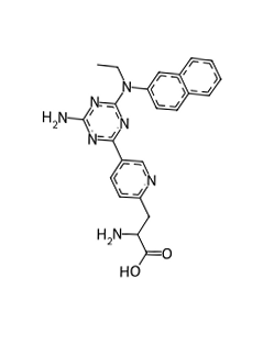 CCN(c1ccc2ccccc2c1)c1nc(N)nc(-c2ccc(CC(N)C(=O)O)nc2)n1